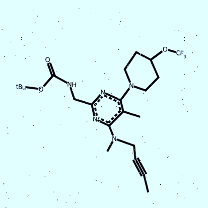 CC#CCN(C)c1nc(CNC(=O)OC(C)(C)C)nc(N2CCC(OC(F)(F)F)CC2)c1C